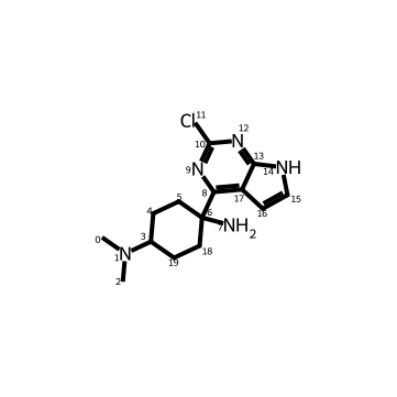 CN(C)C1CCC(N)(c2nc(Cl)nc3[nH]ccc23)CC1